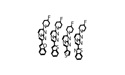 FC1CCN(c2ccn3cc(-c4cc5ccccc5o4)nc3n2)CC1.FC1CCN(c2ccn3cc(-c4cc5ccccc5s4)nc3n2)CC1.FC1CCN(c2ccn3cc(-c4ccsc4)nc3n2)CC1.FC1CCN(c2ccn3cc(-c4nc5ccccc5s4)nc3n2)CC1